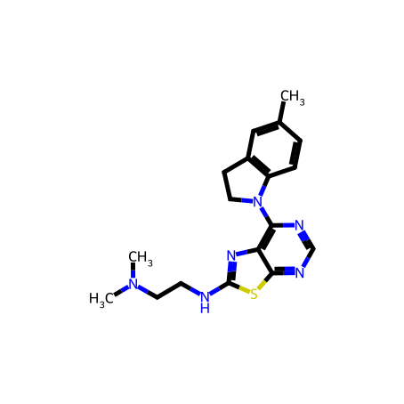 Cc1ccc2c(c1)CCN2c1ncnc2sc(NCCN(C)C)nc12